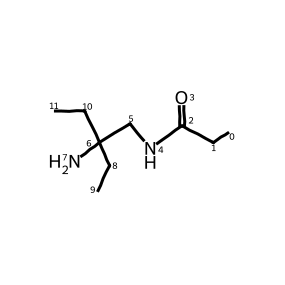 CCC(=O)NCC(N)(CC)CC